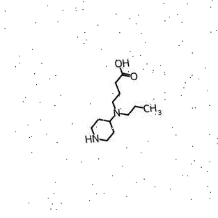 CCCN(CCCC(=O)O)C1CCNCC1